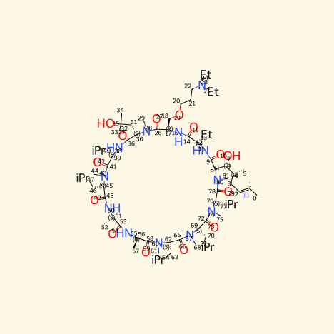 C/C=C/C[C@@H](C)[C@@H](O)[C@H]1C(=O)N[C@@H](CC)C(=O)N[C@H](COCCCN(CC)CC)C(=O)N(C)[C@@H](CC(C)(C)O)C(=O)N[C@@H](C(C)C)C(=O)N(C)[C@@H](CC(C)C)C(=O)N[C@@H](C)C(=O)N[C@H](C)C(=O)N(C)[C@@H](CC(C)C)C(=O)N(C)[C@@H](CC(C)C)C(=O)N(C)[C@@H](C(C)C)C(=O)N1C